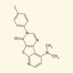 CN(C)c1ccnc2sc3c(=O)n(-c4ccc(I)cc4)cnc3c12